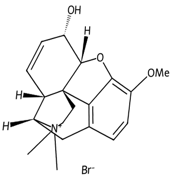 COc1ccc2c3c1O[C@H]1[C@@H](O)C=C[C@H]4[C@@H](C2)[N+](C)(C)CC[C@@]341.[Br-]